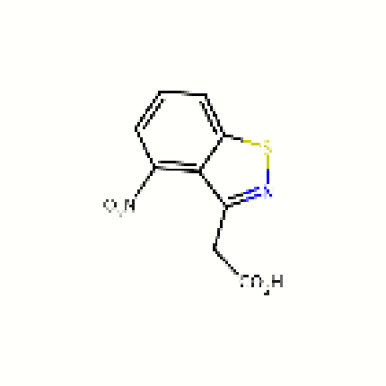 O=C(O)Cc1nsc2cccc([N+](=O)[O-])c12